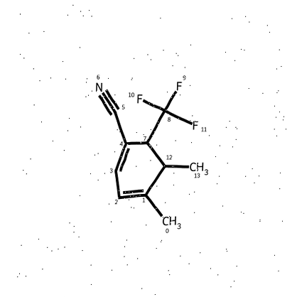 CC1=CC=C(C#N)C(C(F)(F)F)C1C